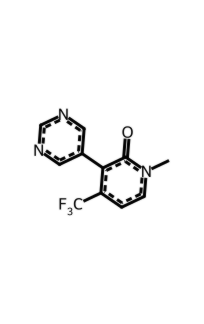 Cn1ccc(C(F)(F)F)c(-c2cncnc2)c1=O